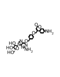 Nc1ccc2c(COc3ccc(COc4nc(N)nc5c4ncn5[C@@H]4O[C@H](CO)[C@@H](O)[C@H]4O)cc3)cc(=O)oc2c1